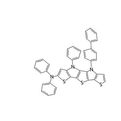 c1ccc(-c2ccc(-n3c4ccsc4c4sc5c6sc(N(c7ccccc7)c7ccccc7)cc6n(-c6ccccc6)c5c43)cc2)cc1